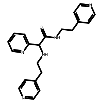 O=C(NCCc1ccncc1)C(NCCc1ccncc1)c1ccccn1